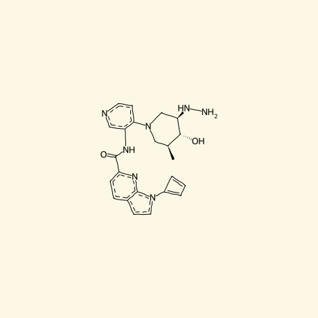 C[C@H]1CN(c2ccncc2NC(=O)c2ccc3ccn(C4=CC=C4)c3n2)C[C@@H](NN)[C@@H]1O